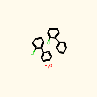 Clc1ccccc1-c1ccccc1.Clc1ccccc1-c1ccccc1.O